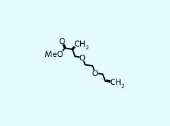 C=CCOCCOCC(=C)C(=O)OC